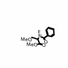 COCC(C(=O)OC)N(F)C(=O)c1ccccc1